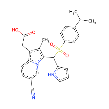 Cc1c(CC(=O)O)c2ccc(C#N)cn2c1C(c1ccc[nH]1)S(=O)(=O)c1ccc(C(C)C)cc1